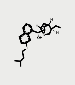 CC[C@H]1CN2CC[C@H]1C[C@H]2[C@H](O)c1cccc2ccc(OCCC(C)C)cc12